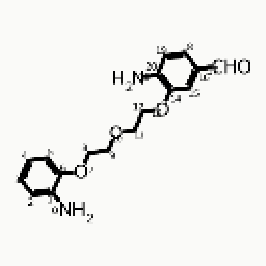 Nc1ccccc1OCCOCCOc1cc(C=O)ccc1N